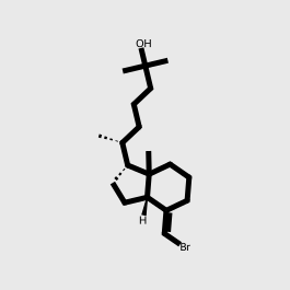 C[C@H](CCCC(C)(C)O)[C@H]1CC[C@H]2/C(=C/Br)CCCC12C